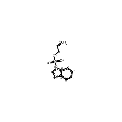 C=CCOS(=O)(=O)n1cnc2ccccc21